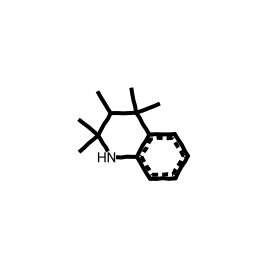 CC1C(C)(C)Nc2ccccc2C1(C)C